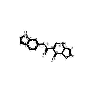 O=C(Nc1ccc2cc[nH]c2c1)C1=CNC2C=CSC2C1=O